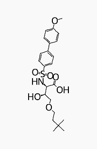 COc1ccc(-c2ccc(S(=O)(=O)N[C@@H](C(=O)O)[C@H](O)COCCC(C)(C)C)cc2)cc1